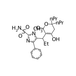 CCCC1(CCC)CC(O)=C(C(CC)c2c(-c3ccccc3)nc(S(N)(=O)=O)n2C)C(=O)O1